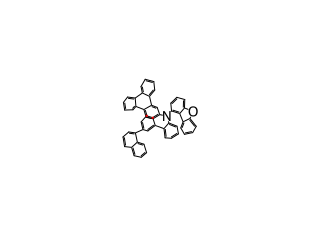 c1cc(-c2ccccc2N(c2ccc3c4ccccc4c4ccccc4c3c2)c2cccc3oc4ccccc4c23)cc(-c2cccc3ccccc23)c1